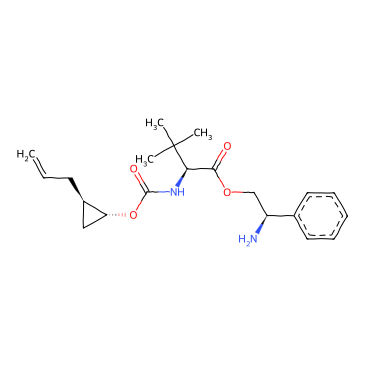 C=CC[C@@H]1C[C@H]1OC(=O)N[C@H](C(=O)OC[C@H](N)c1ccccc1)C(C)(C)C